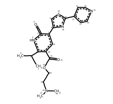 CC(C)c1[nH]c(=O)c(-c2csc(-c3ccncc3)n2)cc1C(=O)OCCN(C)C